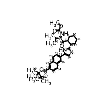 COC(=O)NN(C(=O)C1CCCC[C@@H]1c1ncc(-c2ccc3cc(B4OC(C)(C)C(C)(C)O4)ccc3c2)[nH]1)C(C)C